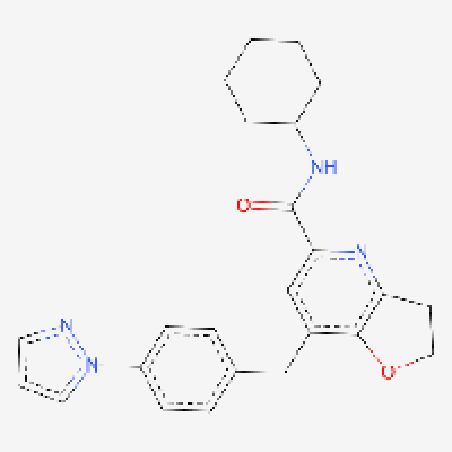 O=C(NC1CCCCC1)c1cc(Cc2ccc(-n3cccn3)cc2)c2c(n1)CCO2